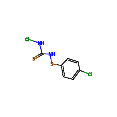 S=C(NCl)NSc1ccc(Cl)cc1